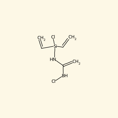 C=C[Si](Cl)(C=C)NC(=C)BCl